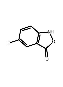 O=c1o[nH]c2ccc(F)cc12